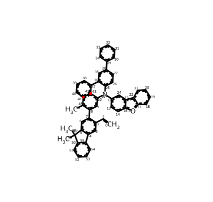 C=Cc1cc2c(cc1-c1cc(N(c3ccc4oc5ccccc5c4c3)c3ccc(-c4ccccc4)cc3-c3ccccc3)ccc1C)C(C)(C)c1ccccc1-2